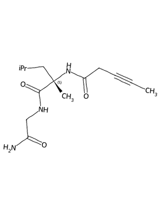 CC#CCC(=O)N[C@@](C)(CC(C)C)C(=O)NCC(N)=O